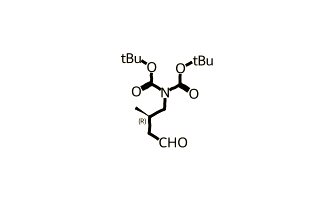 C[C@H](CC=O)CN(C(=O)OC(C)(C)C)C(=O)OC(C)(C)C